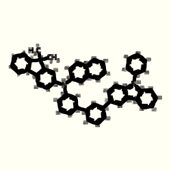 CC1(C)c2ccccc2-c2ccc(N(c3cccc(-c4cccc(-c5ccc6c(c5)c5ccccc5n6-c5ccccc5)c4)c3)c3ccc4ccccc4c3)cc21